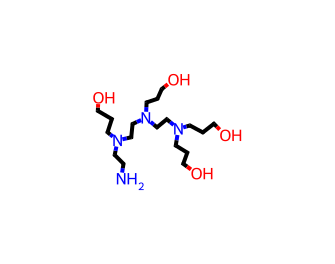 NCCN(CCCO)CCN(CCCO)CCN(CCCO)CCCO